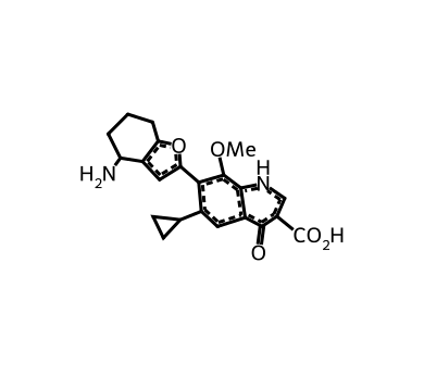 COc1c(-c2cc3c(o2)CCCC3N)c(C2CC2)cc2c(=O)c(C(=O)O)c[nH]c12